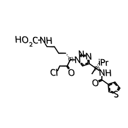 CC(C)[C@@](C)(NC(=O)c1ccsc1)c1cn([C@@H](CCCCNC(=O)O)C(=O)CCl)nn1